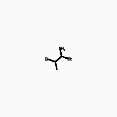 CCC(C)[C@@H](N)CC